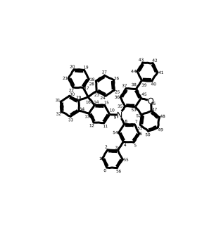 c1ccc(-c2cccc(N(c3ccc4c(c3)C(c3ccccc3)(c3ccccc3)c3ccccc3-4)c3ccc(-c4ccccc4)c4oc5ccccc5c34)c2)cc1